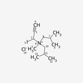 C#CC(I)[N+](C)(CC(C)C)CC(C)C.[Cl-]